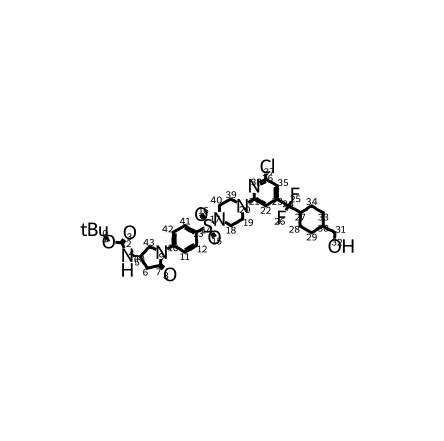 CC(C)(C)OC(=O)N[C@@H]1CC(=O)N(c2ccc(S(=O)(=O)N3CCN(c4cc(C(F)(F)C5CCC(CO)CC5)cc(Cl)n4)CC3)cc2)C1